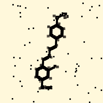 CCCCCCCc1ccc(C=NN=Cc2ccc(OC(F)(F)F)cc2)c(F)c1